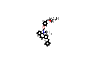 CCOC(Cc1ccc(OCCN(C)C2c3ccccc3CCc3cc(Cc4ccccc4)ccc32)cc1)C(=O)O